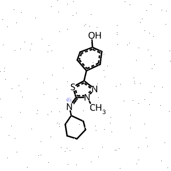 Cn1nc(-c2ccc(O)cc2)s/c1=N/C1CCCCC1